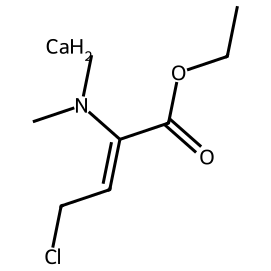 CCOC(=O)C(=CCCl)N(C)C.[CaH2]